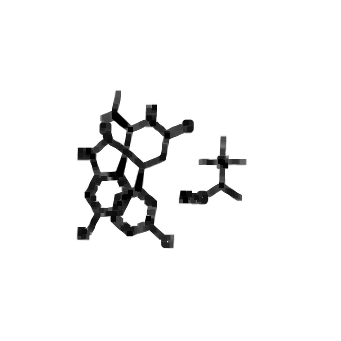 C=C(C)[C@H]1NC(=O)C[C@@H](c2cccc(Cl)c2)[C@]12C(=O)Nc1cc(Br)ccc12.COC(C)[Si](C)(C)C